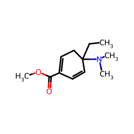 CCC1(N(C)C)C=CC(C(=O)OC)=CC1